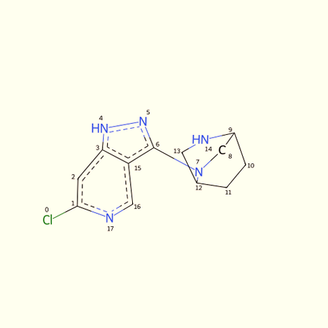 Clc1cc2[nH]nc(N3CC4CCC3CN4)c2cn1